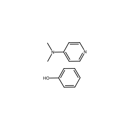 CN(C)c1ccncc1.Oc1ccccc1